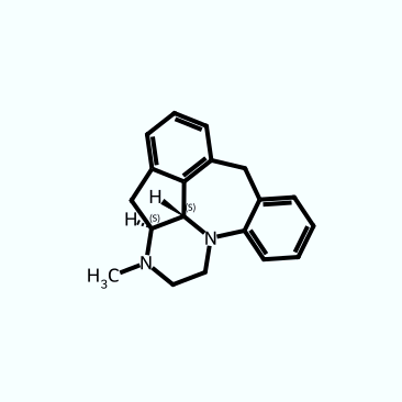 CN1CCN2c3ccccc3Cc3cccc4c3[C@H]2[C@@H]1C4